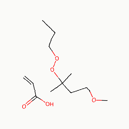 C=CC(=O)O.CCCOOC(C)(C)CCOC